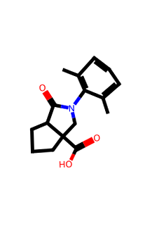 Cc1cccc(C)c1N1CC2(C(=O)O)CCCC2C1=O